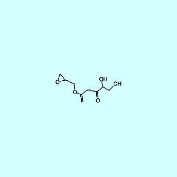 C=C(CC(=O)C(O)CO)OCC1CO1